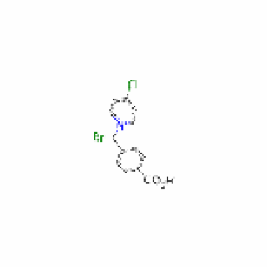 O=C(O)c1ccc(C[n+]2ccc(Cl)cc2)cc1.[Br-]